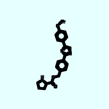 CC(C)Oc1ccc(-c2cnc(-c3ccc(COC(=O)C4CCCN4)cc3)s2)cc1